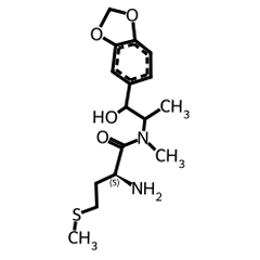 CSCC[C@H](N)C(=O)N(C)C(C)C(O)c1ccc2c(c1)OCO2